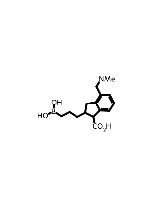 CNCc1cccc2c1CC(CCCB(O)O)C2C(=O)O